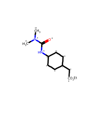 CCOC(=O)CC1CCC(NC(=O)N(C)C)CC1